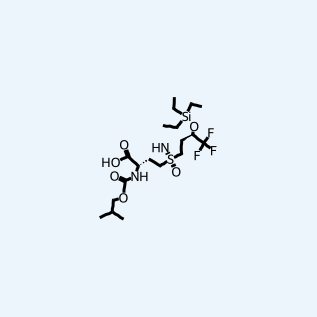 CC[Si](CC)(CC)O[C@H](CCS(=N)(=O)CC[C@H](NC(=O)OCC(C)C)C(=O)O)C(F)(F)F